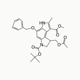 COC(=O)c1c(C)[nH]c2c(OCc3ccccc3)cc3c(c12)C(COC(C)=O)CN3C(=O)OC(C)(C)C